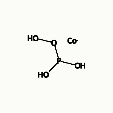 OOP(O)O.[Co]